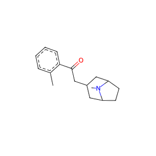 Cc1ccccc1C(=O)CC1CC2CCC(C1)N2C